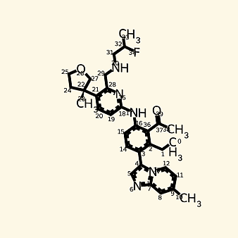 CCc1c(-c2cnc3cc(C)ccn23)ccc(Nc2ccc([C@]3(C)CCOC3)c(CNCC(C)F)n2)c1C(C)=O